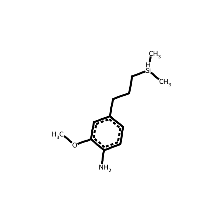 COc1cc(CCC[SiH](C)C)ccc1N